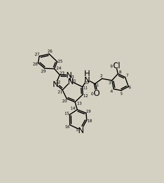 O=C(Cc1ccccc1Cl)Nc1cc(-c2ccncc2)cc2nc(-c3ccccc3)nn12